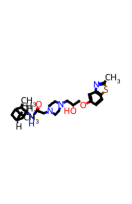 Cc1nc2cc(OC[C@H](O)CN3CCN(CC(=O)N[C@@H]4C[C@@H]5CC(C4C)C5(C)C)CC3)ccc2s1